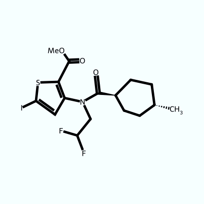 COC(=O)c1sc(I)cc1N(CC(F)F)C(=O)[C@H]1CC[C@H](C)CC1